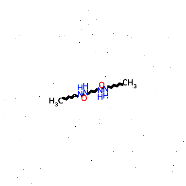 CCCCCCCNC(=O)NCCCCNC(=O)NCCCCCCC